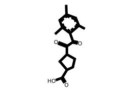 Cc1cc(C)c(C(=O)C(=O)C2CCC(C(=O)O)C2)c(C)c1